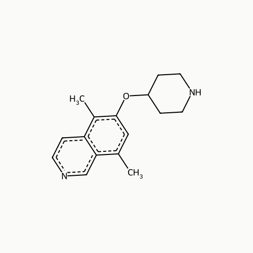 Cc1cc(OC2CCNCC2)c(C)c2ccncc12